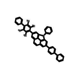 [2H]c1c([2H])c(-c2cc3ccc4cc(-c5ccc(-c6ccccc6)cc5)cc5c4c3c(c2)n5-c2ccccc2)c([2H])c([2H])c1-c1ccccc1